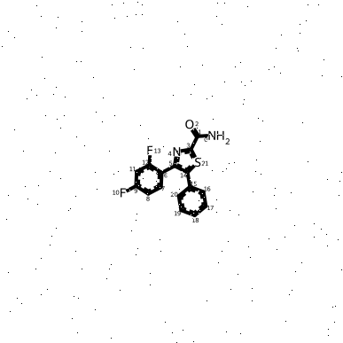 NC(=O)c1nc(-c2ccc(F)cc2F)c(-c2ccccc2)s1